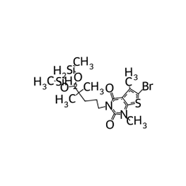 C[SiH2]OC(O[SiH2]C)C(C)(C)CCCn1c(=O)c2c(C)c(Br)sc2n(C)c1=O